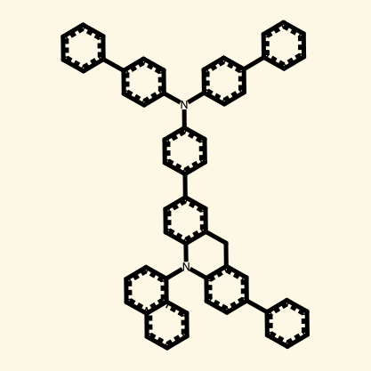 c1ccc(-c2ccc(N(c3ccc(-c4ccccc4)cc3)c3ccc(-c4ccc5c(c4)Cc4cc(-c6ccccc6)ccc4N5c4cccc5ccccc45)cc3)cc2)cc1